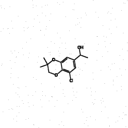 CC(O)c1cc(Cl)c2c(c1)OC(C)(C)CO2